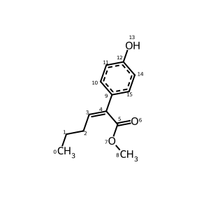 CCCC=C(C(=O)OC)c1ccc(O)cc1